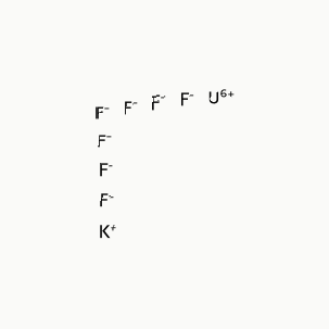 [F-].[F-].[F-].[F-].[F-].[F-].[F-].[K+].[U+6]